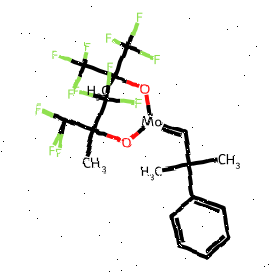 CC(C)([CH]=[Mo]([O]C(C)(C(F)(F)F)C(F)(F)F)[O]C(C)(C(F)(F)F)C(F)(F)F)c1ccccc1